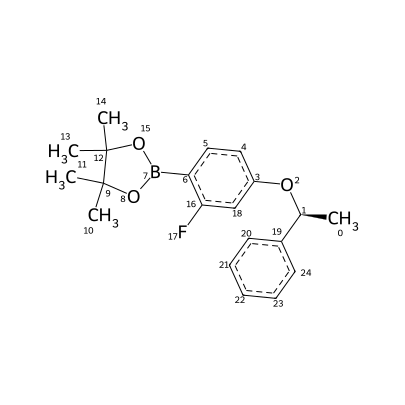 C[C@H](Oc1ccc(B2OC(C)(C)C(C)(C)O2)c(F)c1)c1ccccc1